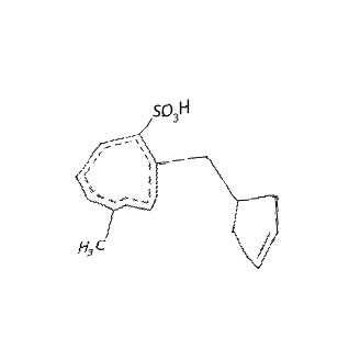 Cc1ccc(S(=O)(=O)O)c(CC2CC=CC2)c1